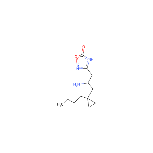 CCCCC1(CC(N)Cc2noc(=O)[nH]2)CC1